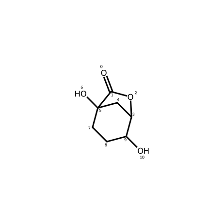 O=C1OC2CC1(O)CCC2O